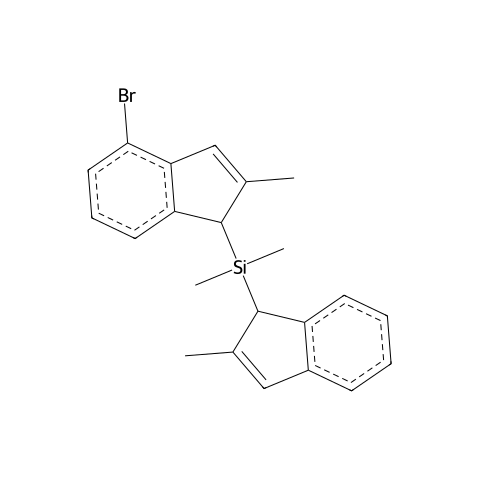 CC1=Cc2ccccc2C1[Si](C)(C)C1C(C)=Cc2c(Br)cccc21